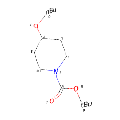 CCCCOC1CCN(C(=O)OC(C)(C)C)CC1